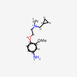 CCCN(CCOc1ccc(N)cc1OC)CC1CC1